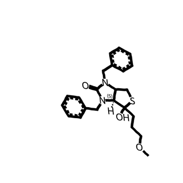 COCCCC1(O)SCC2[C@@H]1N(Cc1ccccc1)C(=O)N2Cc1ccccc1